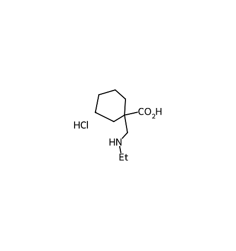 CCNCC1(C(=O)O)CCCCC1.Cl